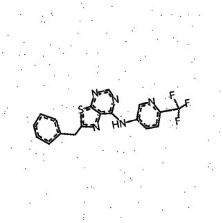 FC(F)(F)c1ccc(Nc2ncnc3sc(Cc4ccccc4)nc23)cn1